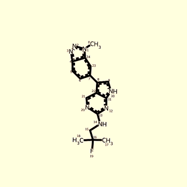 Cn1nnc2ccc(-c3c[nH]c4nc(NCC(C)(C)F)ncc34)cc21